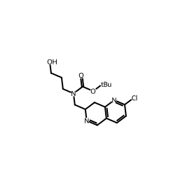 CC(C)(C)OC(=O)N(CCCO)CC1Cc2nc(Cl)ccc2C=N1